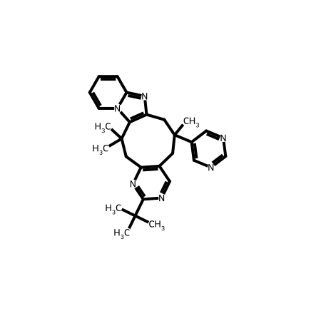 CC(C)(C)c1ncc2c(n1)CC(C)(C)c1c(nc3ccccn13)CC(C)(c1cncnc1)C2